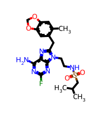 Cc1cc2c(cc1Cc1nc3c(N)nc(F)nc3n1CCNS(=O)(=O)CC(C)C)OCO2